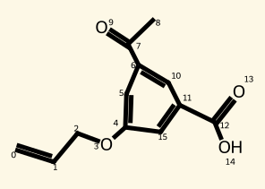 C=CCOc1cc(C(C)=O)cc(C(=O)O)c1